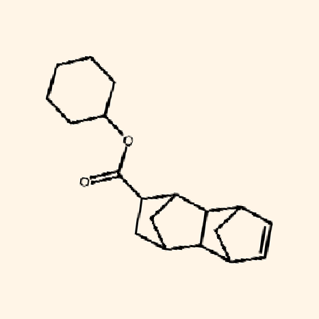 O=C(OC1CCCCC1)C1CC2CC1C1C3C=CC(C3)C21